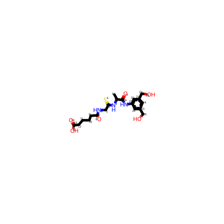 CC(NC(=S)CNC(=O)CCCCC(=O)O)C(=O)Nc1cc(CO)cc(CO)c1